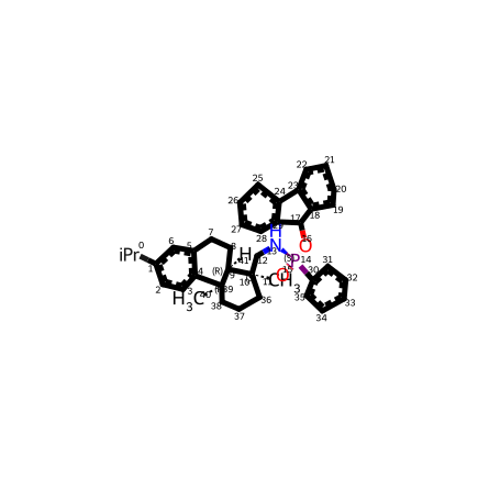 CC(C)c1ccc2c(c1)CC[C@H]1[C@@](C)(CN[P@@](=O)(OC3c4ccccc4-c4ccccc43)c3ccccc3)CCC[C@@]21C